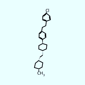 C[C@H]1CC[C@H](CC[C@H]2CC[C@H](c3ccc(CCc4ccc(Cl)cc4)cc3)CC2)CC1